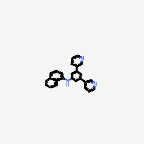 c1cncc(-c2cc(Nc3cccc4ccccc34)cc(-c3cccnc3)c2)c1